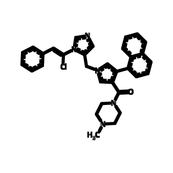 CN1CCN(C(=O)c2cn(Cc3cncn3C(Cl)=Cc3ccccc3)cc2-c2cccc3ccccc23)CC1